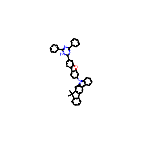 CC1(C)c2ccccc2-c2cc3c4ccccc4n(-c4ccc5c(c4)oc4cc(C6N=C(c7ccccc7)N=C(c7ccccc7)N6)ccc45)c3cc21